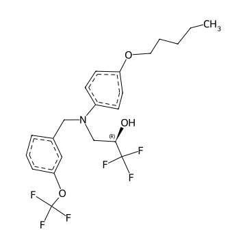 CCCCCOc1ccc(N(Cc2cccc(OC(F)(F)F)c2)C[C@@H](O)C(F)(F)F)cc1